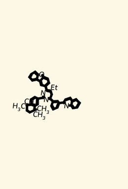 CCC1=C(c2ccc3oc4ccccc4c3c2)N=C(c2ccc3c(c2)C(C)(C)CCC3(C)C)N=C(c2cccc(-c3ccc4ccccc4n3)c2)C1